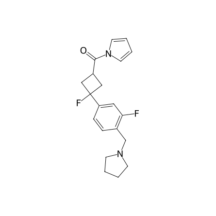 O=C(C1CC(F)(c2ccc(CN3CCCC3)c(F)c2)C1)n1cccc1